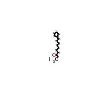 CCC(=O)CCCCCCCC1CCCC1